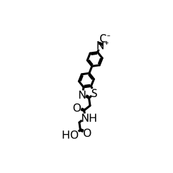 [C-]#[N+]c1ccc(-c2ccc3nc(CC(=O)NCC(=O)O)sc3c2)cc1